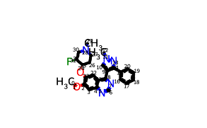 COc1cc2ncnc(-c3cn(C)nc3-c3ccccc3)c2cc1O[C@H]1CCN(C)C[C@@H]1F